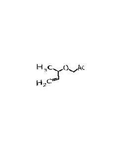 C=CC(C)OCC(C)=O